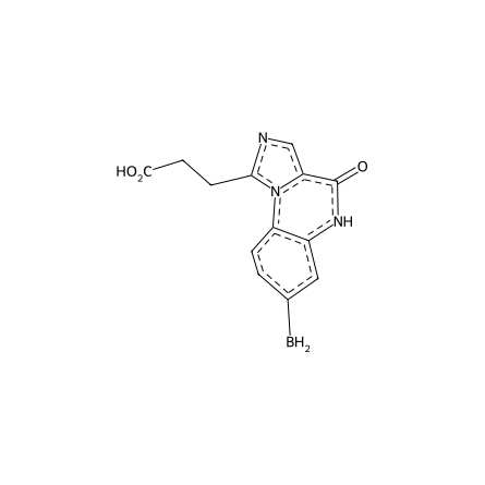 Bc1ccc2c(c1)[nH]c(=O)c1cnc(CCC(=O)O)n12